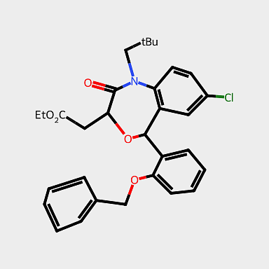 CCOC(=O)CC1OC(c2ccccc2OCc2ccccc2)c2cc(Cl)ccc2N(CC(C)(C)C)C1=O